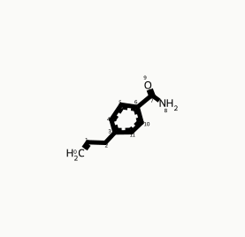 C=CCc1ccc(C(N)=O)cc1